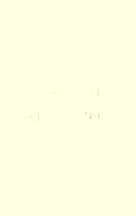 CN.[Cl][Pb][Cl]